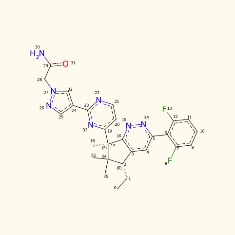 CC[C@H]1c2cc(-c3c(F)cccc3F)nnc2[C@](C)(c2ccnc(-c3cnn(CC(N)=O)c3)n2)C1(C)C